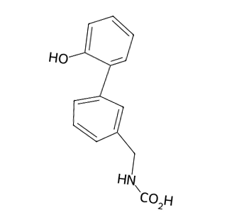 O=C(O)NCc1cccc(-c2ccccc2O)c1